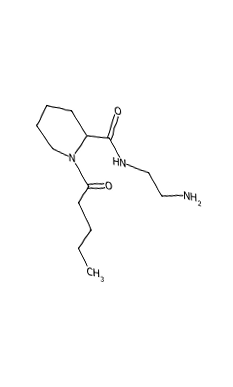 CCCCC(=O)N1CCCCC1C(=O)NCCN